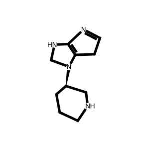 C1=NC2=C(C1)N([C@@H]1CCCNC1)CN2